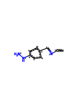 CON=Cc1ccc(NN)cc1